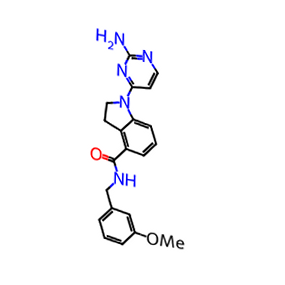 COc1cccc(CNC(=O)c2cccc3c2CCN3c2ccnc(N)n2)c1